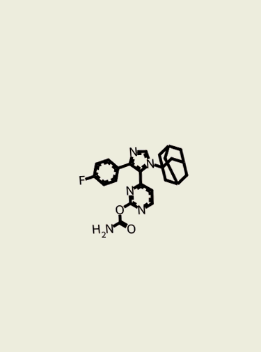 NC(=O)Oc1nccc(-c2c(-c3ccc(F)cc3)ncn2C23CC4CC(CC(C4)C2)C3)n1